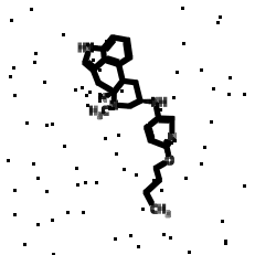 CCCCOc1ccc(N[C@@H]2CC3c4cccc5[nH]cc(c45)C[C@H]3N(C)C2)cn1